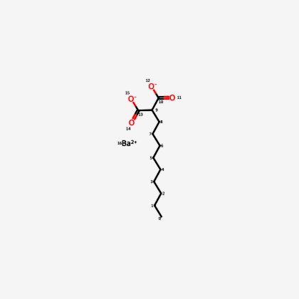 CCCCCCCCCC(C(=O)[O-])C(=O)[O-].[Ba+2]